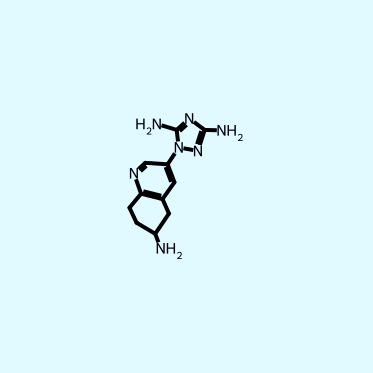 Nc1nc(N)n(-c2cnc3c(c2)CC(N)CC3)n1